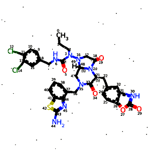 CCCN(C(=O)NCc1ccc(Cl)c(Cl)c1)N1CC(=O)N2[C@@H](Cc3ccc4oc(=O)[nH]c4c3)C(=O)N(Cc3cccc4sc(N)nc34)C[C@@H]21